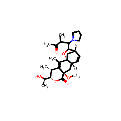 CO[C@]12C[C@H]3C=C[C@@H]4C[C@]3(O[C@H]4C(C(C)C(C)=O)N3CCCC3)C(C)=C1[C@@H](C)[C@@H]([C@@H](C)O)OC2=O